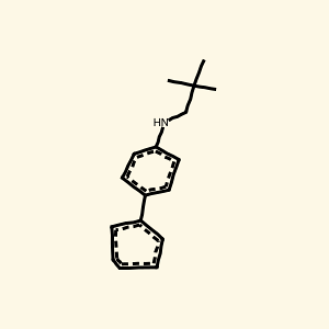 CC(C)(C)CNc1ccc(-c2ccccc2)cc1